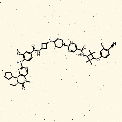 CC[C@@H]1C(=O)N(C)c2cnc(Nc3ccc(C(=O)NC4CC(NC5CCN(c6ncc(C(=O)NC7C(C)(C)C(Oc8ccc(C#N)c(Cl)c8)C7(C)C)cn6)CC5)C4)cc3OC)nc2N1C1CCCC1